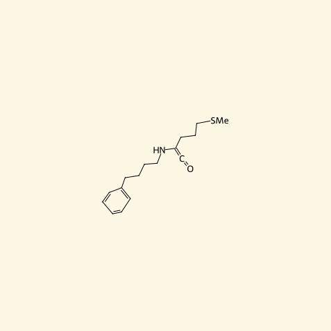 CSCCCC(=C=O)NCCCCc1ccccc1